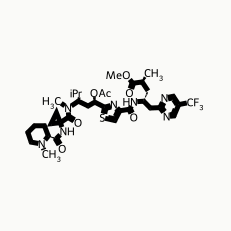 COC(=O)[C@@H](C)C[C@H](Cc1ncc(C(F)(F)F)cn1)NC(=O)c1csc([C@@H](C[C@H](C(C)C)N(C)C(=O)C2(NC(=O)[C@H]3CCCCN3C)CC2)OC(C)=O)n1